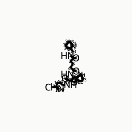 O=C(CCCC(=O)Nc1c(C(=O)Nc2ccc(Cl)cn2)oc2ccccc12)NCc1ccccn1